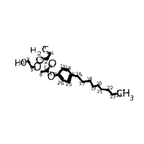 C=CC(=O)OC(COCCO)Oc1ccc(CCCCCCCCC)cc1